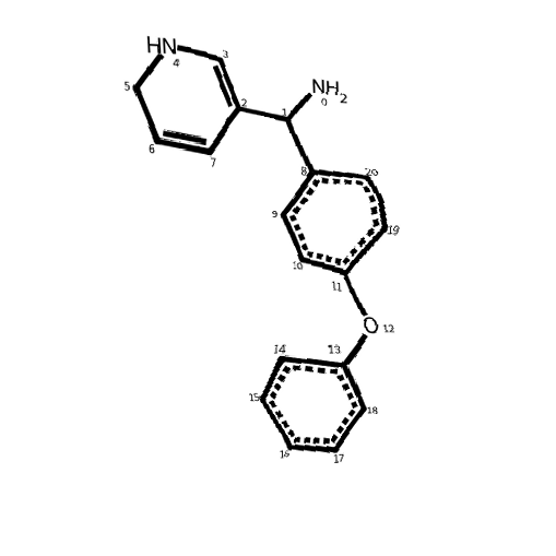 NC(C1=CNCC=C1)c1ccc(Oc2ccccc2)cc1